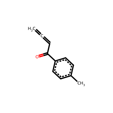 C=C=CC(=O)c1ccc(C)cc1